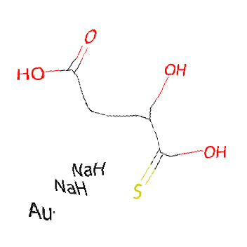 O=C(O)CC(O)C(O)=S.[Au].[NaH].[NaH]